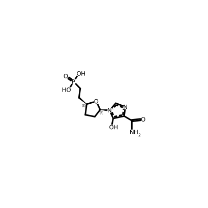 NC(=O)c1ncn([C@H]2CC[C@@H](CCP(=O)(O)O)O2)c1O